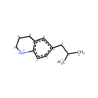 CC(C)Cc1ccc2c(c1)CCCN2